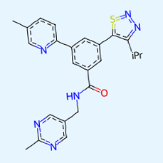 Cc1ccc(-c2cc(C(=O)NCc3cnc(C)nc3)cc(-c3snnc3C(C)C)c2)nc1